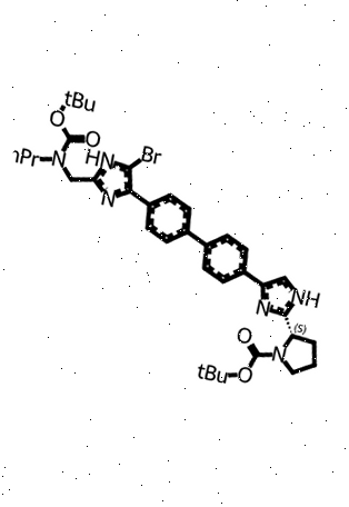 CCCN(Cc1nc(-c2ccc(-c3ccc(-c4c[nH]c([C@@H]5CCCN5C(=O)OC(C)(C)C)n4)cc3)cc2)c(Br)[nH]1)C(=O)OC(C)(C)C